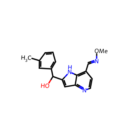 CON=Cc1ccnc2cc(C(O)c3cccc(C)c3)[nH]c12